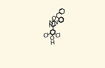 Oc1c(Cl)cc(-c2cnc(OC(CC3=CCCC=C3)c3ccccc3)nn2)cc1Cl